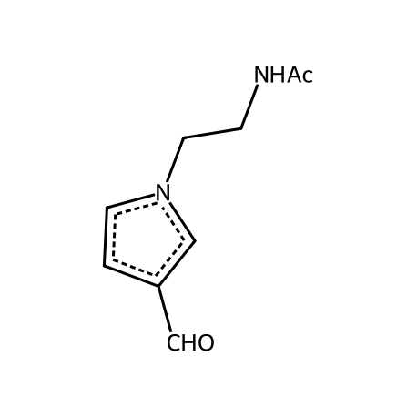 CC(=O)NCCn1ccc(C=O)c1